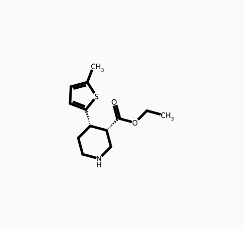 CCOC(=O)[C@@H]1CNCC[C@@H]1c1ccc(C)s1